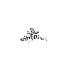 C[C@H](N)C(=O)N[C@@H](CCCCN)C(=O)N[C@@H](C)C(=O)N[C@@H](CO)C(=O)N[C@@H](Cc1ccc(O)cc1)C(=O)N1CCC[C@H]1C(=O)O